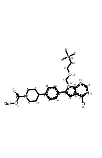 CC(C)(C)OC(=O)N1CCC(c2ccc(-c3cc4c(Cl)ncnc4n3COCC[Si](C)(C)C)cc2)CC1